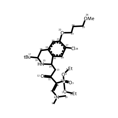 CCOP(=O)(OCC)C(=CN(C)C)C(=O)CC1NC(C(C)(C)C)Cc2cc(OCCCOC)c(Cl)cc21